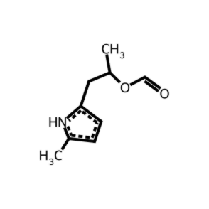 Cc1ccc(CC(C)OC=O)[nH]1